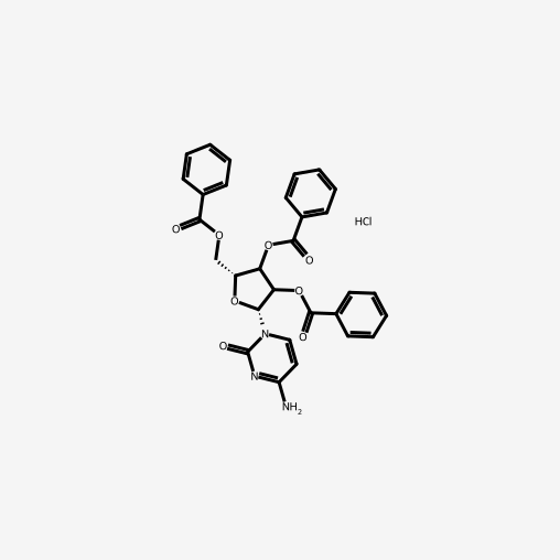 Cl.Nc1ccn([C@@H]2O[C@H](COC(=O)c3ccccc3)C(OC(=O)c3ccccc3)C2OC(=O)c2ccccc2)c(=O)n1